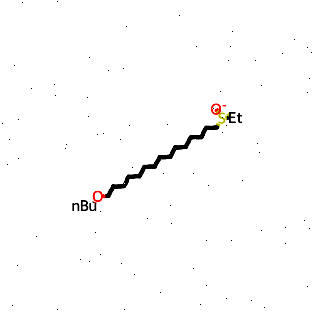 CCCCOCCCCCCCCCCCCCCC[S+]([O-])CC